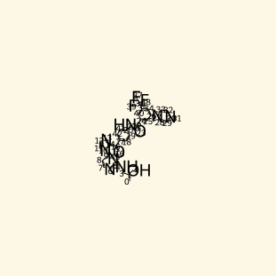 CC(O)CNc1nccc(-n2ccnc2C(=O)c2ccc(NC(=O)c3cc(N4CCN(C)CC4)cc(C(F)(F)F)c3)cc2)n1